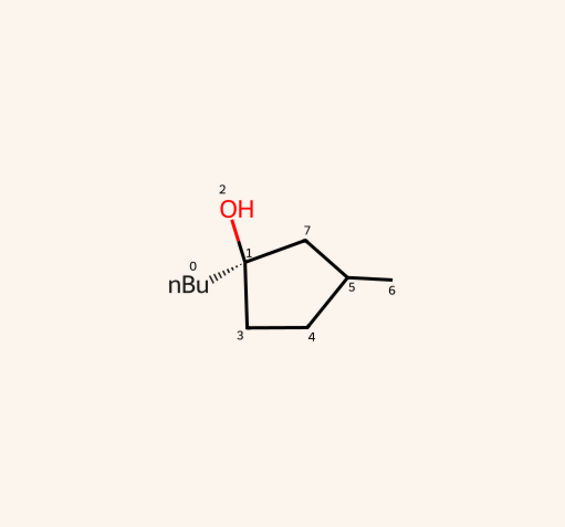 CCCC[C@@]1(O)CCC(C)C1